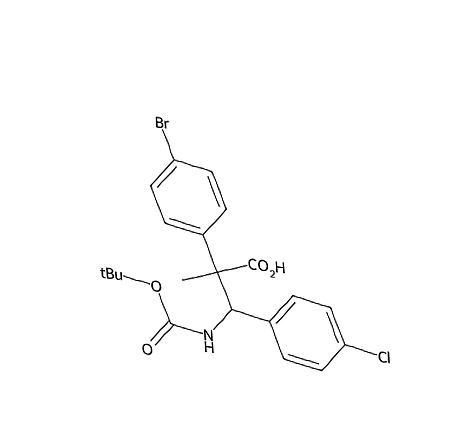 CC(C)(C)OC(=O)NC(c1ccc(Cl)cc1)C(C)(C(=O)O)c1ccc(Br)cc1